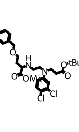 COC(=O)C(CCOCc1ccccc1)NCCN(CCC(=O)OC(C)(C)C)c1ccc(Cl)c(Cl)c1